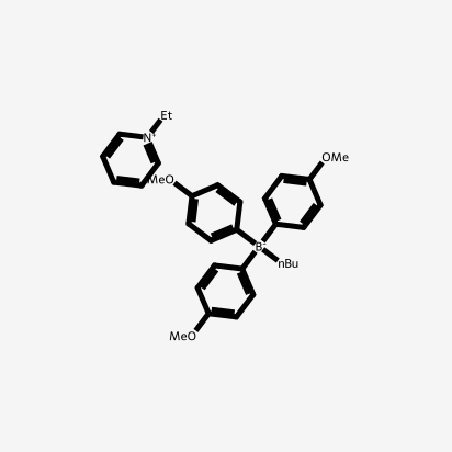 CCCC[B-](c1ccc(OC)cc1)(c1ccc(OC)cc1)c1ccc(OC)cc1.CC[n+]1ccccc1